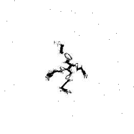 CCCOCC(OCCC#N)C(COCCC#N)OCCC#N